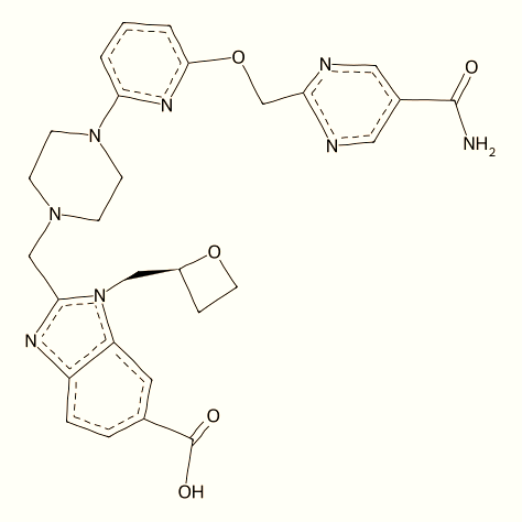 NC(=O)c1cnc(COc2cccc(N3CCN(Cc4nc5ccc(C(=O)O)cc5n4C[C@@H]4CCO4)CC3)n2)nc1